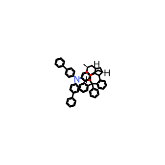 C[C@H]1C[C@@H]2C[C@@H]3C[C@H](C1)C21c2ccc(N(c4ccc(-c5ccccc5)cc4)c4ccc(-c5ccccc5)cc4)cc2C(c2ccccc2)(c2ccccc2)c2ccccc2C31